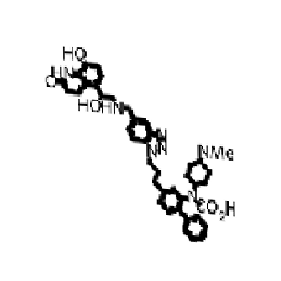 CNC1CCC(N(C(=O)O)c2cc(CCCn3nnc4cc(CNC[C@H](O)c5ccc(O)c6[nH]c(=O)ccc56)ccc43)ccc2-c2ccccc2)CC1